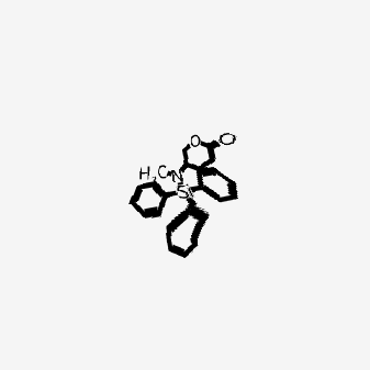 CN(C1CCC(=O)OC1)[Si](c1ccccc1)(c1ccccc1)c1ccccc1